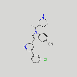 CC(C1CCCNC1)n1cc(-c2cncc(-c3cccc(Cl)c3)c2)c2cc(C#N)ccc21